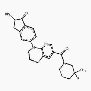 CCCC1Cc2cc(N3CCCc4cc(C(=O)N5CCCC(C)(F)C5)cnc43)ccc2C1=O